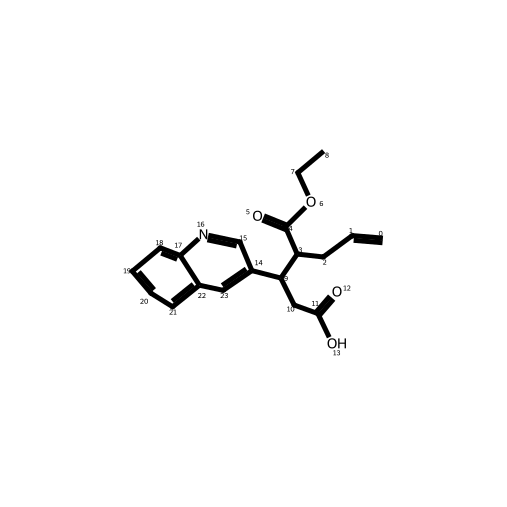 C=CCC(C(=O)OCC)C(CC(=O)O)c1cnc2ccccc2c1